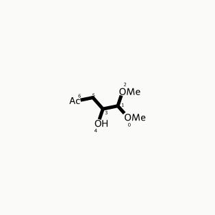 COC(OC)C(O)CC(C)=O